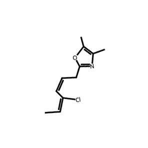 C/C=C(Cl)\C=C/Cc1nc(C)c(C)o1